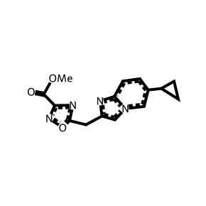 COC(=O)c1noc(Cc2cn3cc(C4CC4)ccc3n2)n1